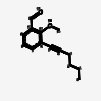 CCCCC#Cc1cccc(C=O)c1OC